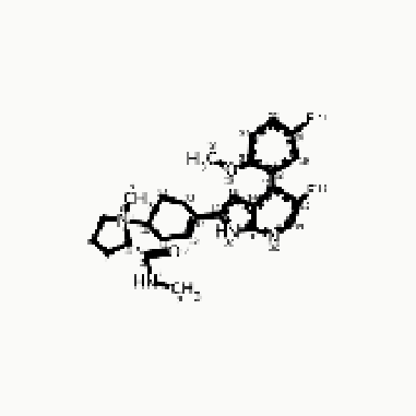 CNC(=O)[C@@H]1CCC[N+]1(C)C1CC=C(c2cc3c(-c4cc(F)ccc4OC)c(F)cnc3[nH]2)CC1